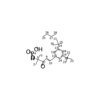 CC(C)(O[PH](=O)O)C(=O)/C=C/c1cc(C(C)(C)C)cc(C(C)(C)C)c1.CCCC